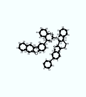 c1ccc(-c2ccc3c4c(sc3c2)-c2c(c3ccccc3n2-c2nc(-c3ccc5oc6cc7ccccc7cc6c5c3)c3ccccc3n2)CC4)cc1